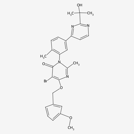 COc1cccc(COc2nc(C)n(-c3cc(-c4ccnc(C(C)(C)O)n4)ccc3C)c(=O)c2Br)c1